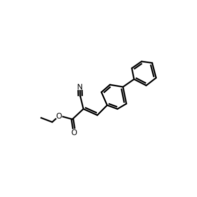 CCOC(=O)/C(C#N)=C/c1ccc(-c2ccccc2)cc1